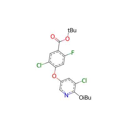 CC(C)COc1ncc(Oc2cc(F)c(C(=O)OC(C)(C)C)cc2Cl)cc1Cl